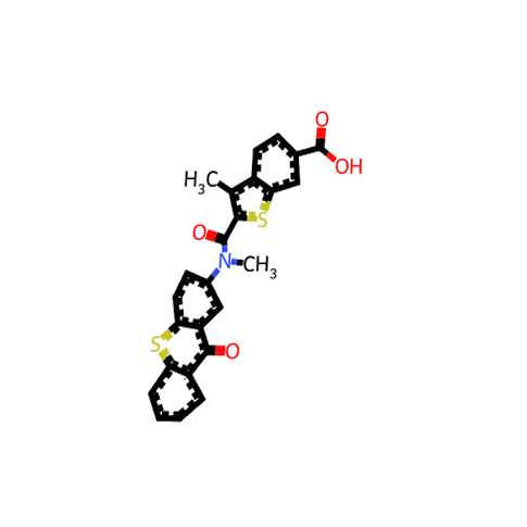 Cc1c(C(=O)N(C)c2ccc3sc4ccccc4c(=O)c3c2)sc2cc(C(=O)O)ccc12